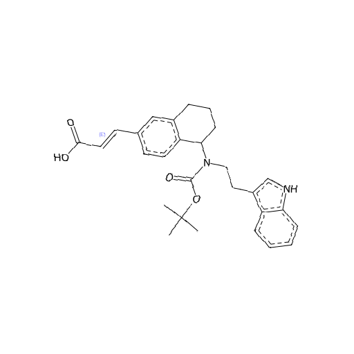 CC(C)(C)OC(=O)N(CCc1c[nH]c2ccccc12)C1CCCc2cc(/C=C/C(=O)O)ccc21